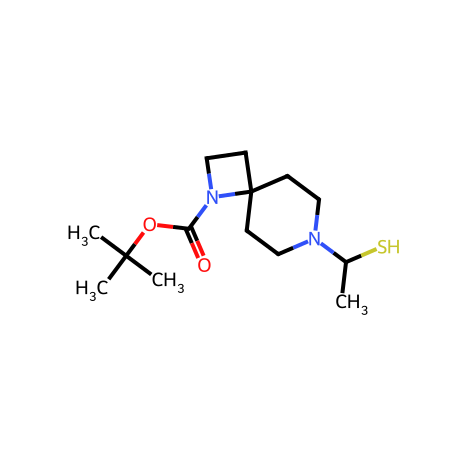 CC(S)N1CCC2(CC1)CCN2C(=O)OC(C)(C)C